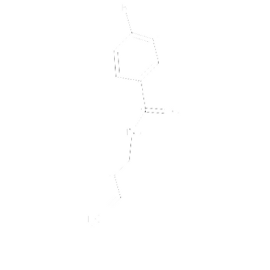 C=CCCNC(=O)c1ccc(Br)cc1